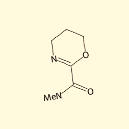 CNC(=O)C1=NCCCO1